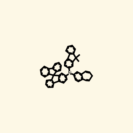 CC1(C)c2ccccc2-c2ccc(N(c3ccc4c(c3)C=CCC=C4)c3ccc4c(c3)C3(c5ccccc5-c5ccccc53)c3ccccc3-4)cc21